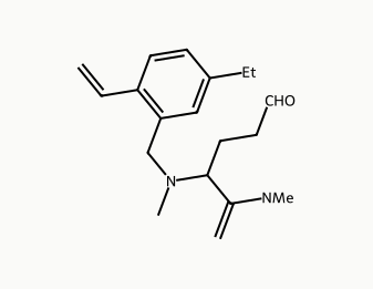 C=Cc1ccc(CC)cc1CN(C)C(CCC=O)C(=C)NC